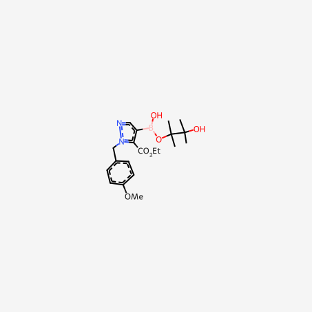 CCOC(=O)c1c(B(O)OC(C)(C)C(C)(C)O)cnn1Cc1ccc(OC)cc1